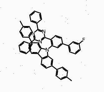 Cc1ccc(-c2ccc3c4ccc(-c5ccc(C)cc5)cc4n(-c4cc(-c5cccc(F)c5)ccc4-c4nc(-c5ccccc5)nc(-c5ccccc5)n4)c3c2)cc1